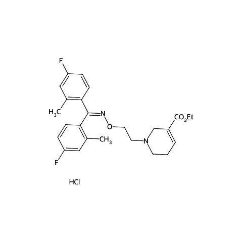 CCOC(=O)C1=CCCN(CCON=C(c2ccc(F)cc2C)c2ccc(F)cc2C)C1.Cl